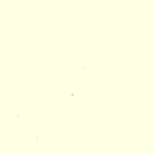 CCOC(=O)C1=CN(C=Cc2ccccc2)C(C)=C(C(=O)OCC)C1c1cccc([N+](=O)[O-])c1